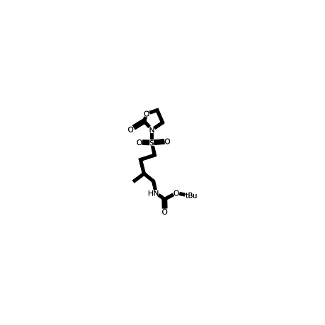 CC(CCS(=O)(=O)N1CCOC1=O)CNC(=O)OC(C)(C)C